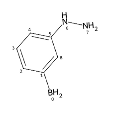 Bc1cccc(NN)c1